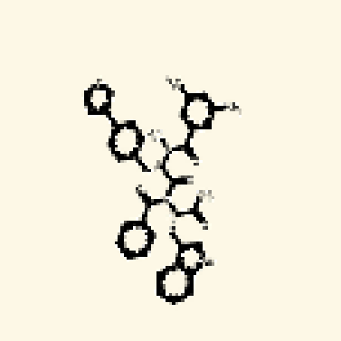 Cc1cc(C)cc(C(=O)N(C)[C@@H](Cc2ccc(-c3ccsc3)cc2)C(=O)N(C(=O)c2ccccc2)[C@@H](Cc2c[nH]c3ccccc23)C(N)=O)c1